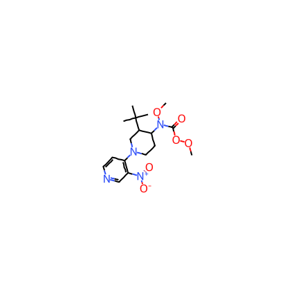 COOC(=O)N(OC)C1CCN(c2ccncc2[N+](=O)[O-])CC1C(C)(C)C